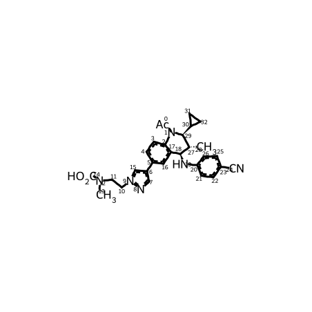 CC(=O)N1c2ccc(-c3cnn(CCN(C)C(=O)O)c3)cc2[C@H](Nc2ccc(C#N)cc2)[C@@H](C)[C@@H]1C1CC1